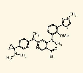 CCC(=O)c1cnc(N(C)c2ccc(C3(N(C)C)CC3)cn2)cc1N(C)c1cccc(-c2ncn(C)n2)c1OC